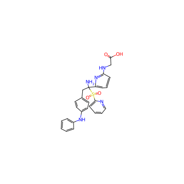 NC(Cc1ccc(Nc2ccccc2)cc1)(c1cccc(NCC(=O)O)n1)S(=O)(=O)c1ccccn1